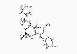 CC(C)C(=O)Oc1c(C=Nc2ccc(Cl)cc2)cc(Br)cc1OC(=O)c1cccnc1